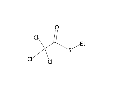 [CH2]CSC(=O)C(Cl)(Cl)Cl